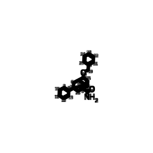 NC(=O)C12CC3CC(c4ccccc4)(CC(C1)C3OCc1ccccc1)C2